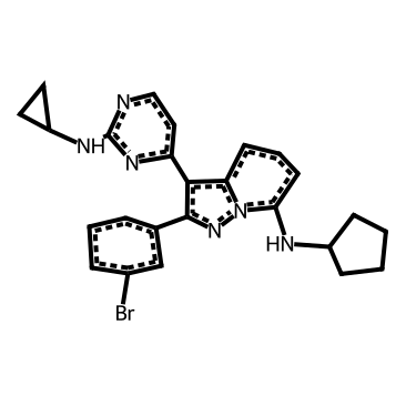 Brc1cccc(-c2nn3c(NC4CCCC4)cccc3c2-c2ccnc(NC3CC3)n2)c1